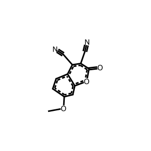 COc1ccc2c(C#N)c(C#N)c(=O)oc2c1